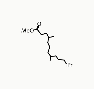 COC(=O)CCC(C)CCCC(C)CCCC(C)C